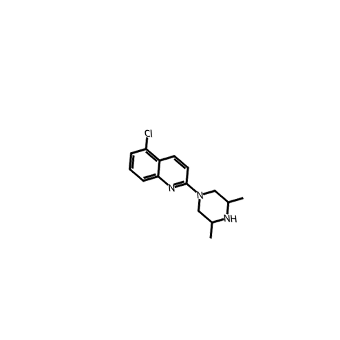 CC1CN(c2ccc3c(Cl)cccc3n2)CC(C)N1